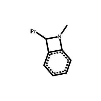 CC(C)C1c2ccccc2N1C